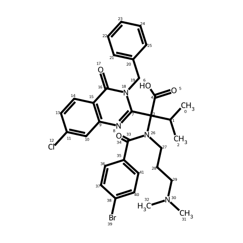 CC(C)C(C(=O)O)(c1nc2cc(Cl)ccc2c(=O)n1Cc1ccccc1)N(CCCN(C)C)C(=O)c1ccc(Br)cc1